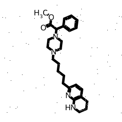 COC(=O)C(c1ccccc1)N1CCN(CCCCCc2ccc3c(n2)NCCC3)CC1